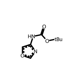 CC(C)(C)OC(=O)Nc1cocn1